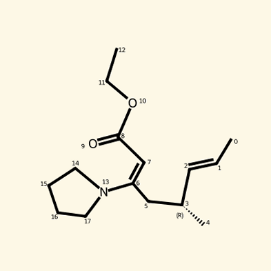 CC=C[C@H](C)CC(=CC(=O)OCC)N1CCCC1